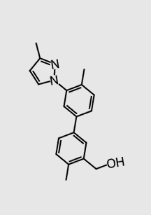 Cc1ccn(-c2cc(-c3ccc(C)c(CO)c3)ccc2C)n1